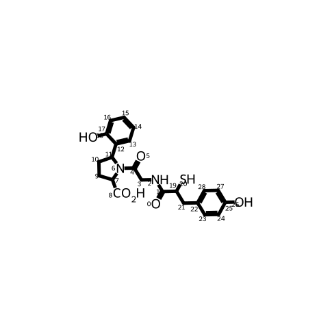 O=C(NCC(=O)N1C(C(=O)O)CCC1c1ccccc1O)C(S)Cc1ccc(O)cc1